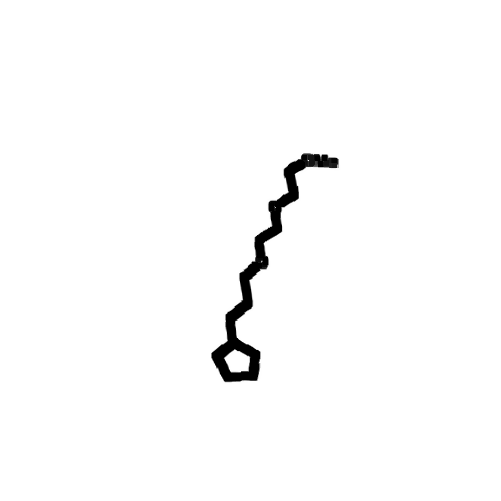 COCCOCCOCCCC1CCCC1